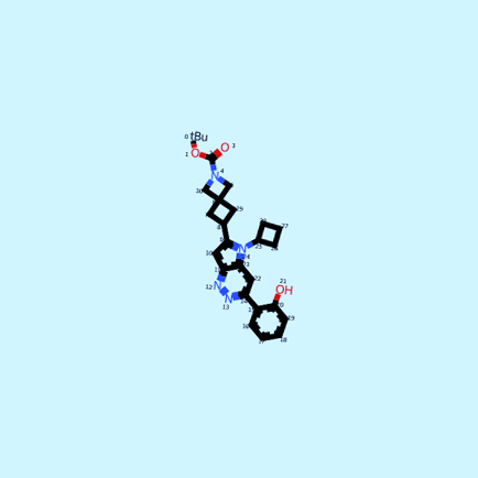 CC(C)(C)OC(=O)N1CC2(CC(c3cc4nnc(-c5ccccc5O)cc4n3C3CCC3)C2)C1